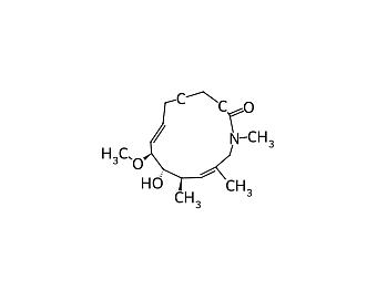 CO[C@H]1/C=C/CCCCC(=O)N(C)C/C(C)=C\[C@@H](C)[C@@H]1O